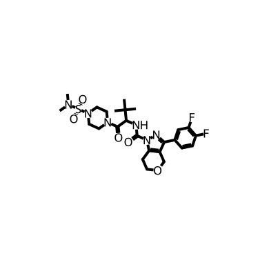 CN(C)S(=O)(=O)N1CCN(C(=O)C(NC(=O)n2nc(-c3ccc(F)c(F)c3)c3c2CCOC3)C(C)(C)C)CC1